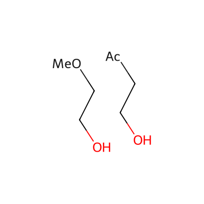 CC(=O)CCO.COCCO